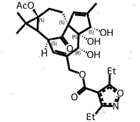 CCc1noc(CC)c1C(=O)OCC1=C[C@@H]2C(=O)[C@]3(C=C(C)[C@H](O)[C@@]3(O)[C@@H]1O)CC[C@]1(OC(C)=O)C2C1(C)C